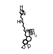 COc1ccc2c(c1OC)CCC(N)C2CCCCCCNCCc1c[nH]cn1.Cl.Cl